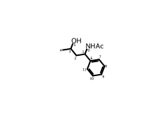 CC(=O)NC(CC(C)O)c1ccccc1